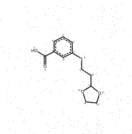 O=C(O)c1cccc(SCCC2OCCO2)c1